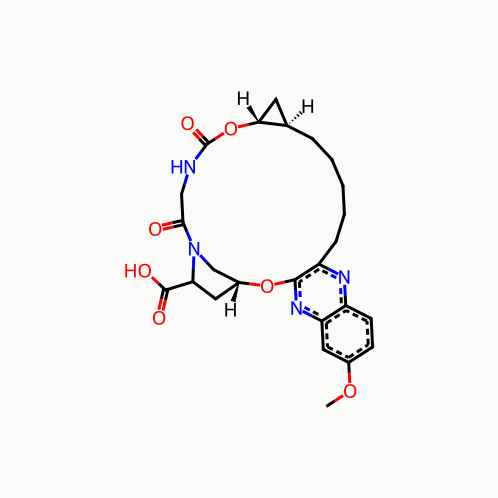 COc1ccc2nc3c(nc2c1)O[C@@H]1CC(C(=O)O)N(C1)C(=O)CNC(=O)O[C@@H]1C[C@H]1CCCCC3